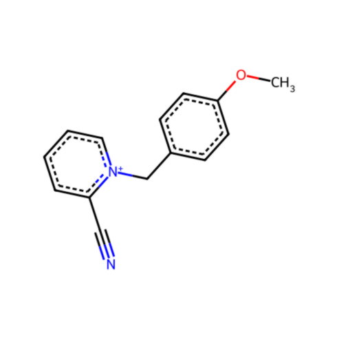 COc1ccc(C[n+]2ccccc2C#N)cc1